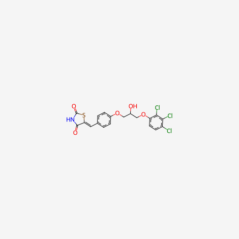 O=C1NC(=O)C(=Cc2ccc(OCC(O)COc3ccc(Cl)c(Cl)c3Cl)cc2)S1